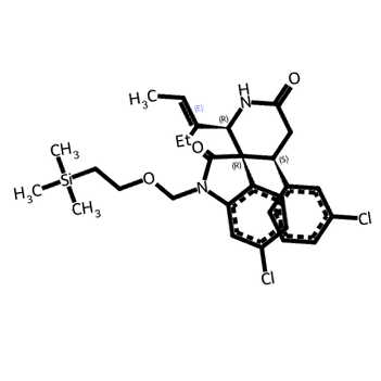 C/C=C(\CC)[C@H]1NC(=O)C[C@@H](c2cccc(Cl)c2)[C@]12C(=O)N(COCC[Si](C)(C)C)c1cc(Cl)ccc12